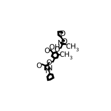 Cc1cc(COc2nn(-c3ccccc3)cc2C=O)cc(C(=O)O)c1OCc1nc(-c2ccco2)oc1C